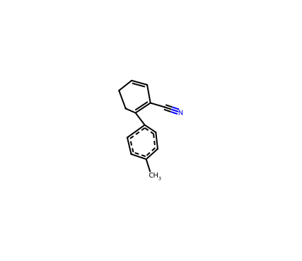 Cc1ccc(C2=C(C#N)C=CCC2)cc1